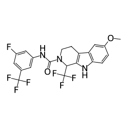 COc1ccc2[nH]c3c(c2c1)CCN(C(=O)Nc1cc(F)cc(C(F)(F)F)c1)C3C(F)(F)F